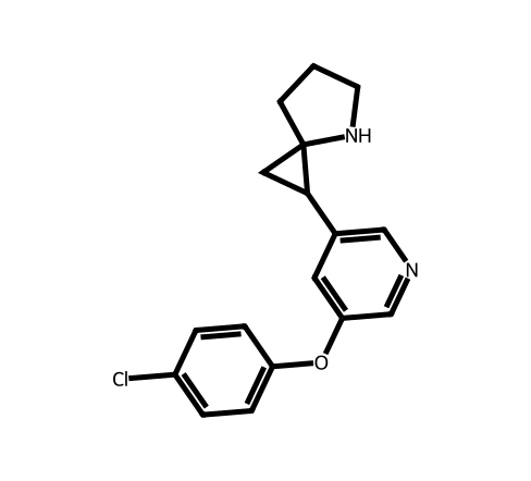 Clc1ccc(Oc2cncc(C3CC34CCCN4)c2)cc1